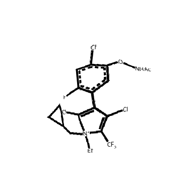 CC[N+]1(CC2CC2)C(Cl)=C(c2cc(ONC(C)=O)c(Cl)cc2F)C(Cl)=C1C(F)(F)F